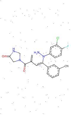 C=C(/C=C(/c1cccc(C#N)c1)N(N)c1ccc(F)c(Cl)c1)C(=O)N1CNC(=O)C1